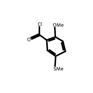 COc1ccc(SC)cc1C(=O)Cl